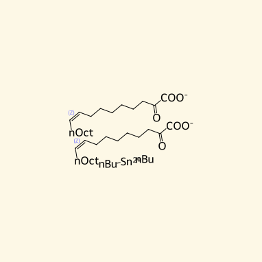 CCCCCCCC/C=C\CCCCCCC(=O)C(=O)[O-].CCCCCCCC/C=C\CCCCCCC(=O)C(=O)[O-].CCC[CH2][Sn+2][CH2]CCC